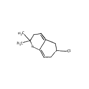 CC1(C)CC=C2CC(Cl)CC=C2[N]1